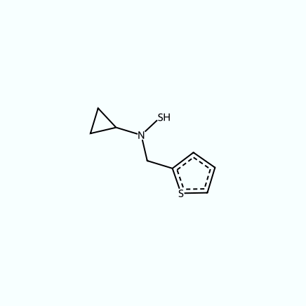 SN(Cc1cccs1)C1CC1